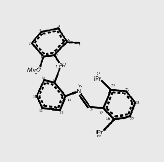 COc1cccc(C)c1Pc1ccccc1/N=C/c1c(C(C)C)cccc1C(C)C